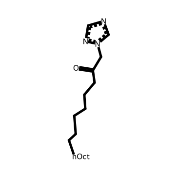 CCCCCCCCCCCCCCC(=O)Cn1cncn1